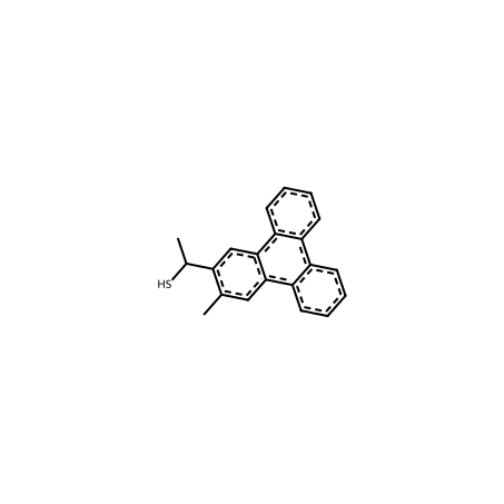 Cc1cc2c3ccccc3c3ccccc3c2cc1C(C)S